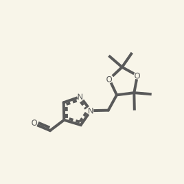 CC1(C)OC(Cn2cc(C=O)cn2)C(C)(C)O1